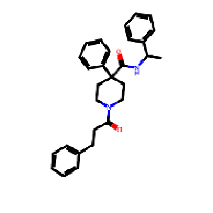 CC(NC(=O)C1(c2ccccc2)CCN(C(=O)CCc2ccccc2)CC1)c1ccccc1